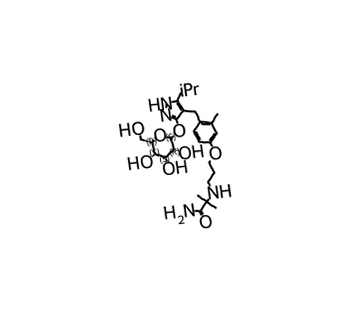 Cc1cc(OCCCNC(C)(C)C(N)=O)ccc1Cc1c(O[C@@H]2O[C@H](CO)[C@@H](O)[C@H](O)[C@H]2O)n[nH]c1C(C)C